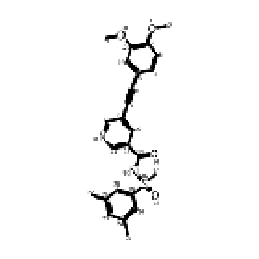 COc1ccc(C#Cc2cncc(C(=O)N=S(C)(=O)c3cc(C)cc(C)c3)c2)cc1OC